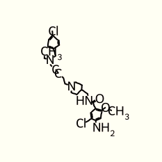 CCN(CCCCCN1CCC(CNC(=O)c2cc(Cl)c(N)cc2OC)CC1)Cc1ccc(Cl)cc1